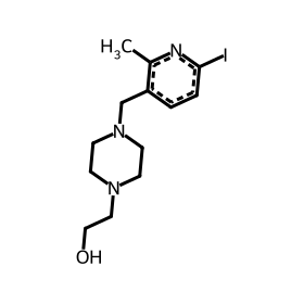 Cc1nc(I)ccc1CN1CCN(CCO)CC1